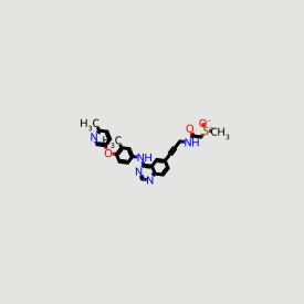 Cc1ccc(Oc2ccc(Nc3ncnc4ccc(C#CCNC(=O)C[S+](C)[O-])cc34)cc2C)cn1